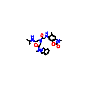 Cc1cc2c(cc1NCC(=O)N(CCNC(C)C)CC(=O)N(C)N1Cc3ccccc3C1)oc(=O)n2C